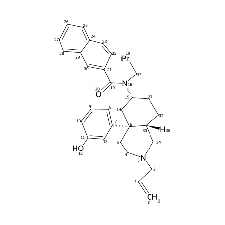 C=CCN1CC[C@@]2(c3cccc(O)c3)C[C@H](N(CC(C)C)C(=O)c3ccc4ccccc4c3)CC[C@@H]2C1